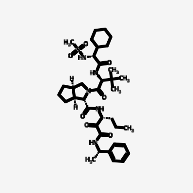 CCC[C@@H](NC(=O)[C@@H]1[C@H]2CCC[C@H]2CN1C(=O)[C@@H](NC(=O)[C@H](NS(C)(=O)=O)C1CCCCC1)C(C)(C)C)C(=O)C(=O)N[C@@H](C)c1ccccc1